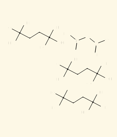 CC(C)(O)CCC(C)(C)O.CC(C)(O)CCC(C)(C)O.CC(C)(O)CCC(C)(C)O.OB(O)OB(O)O